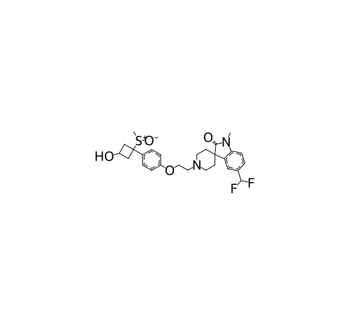 CN1C(=O)C2(CCN(CCOc3ccc(C4([S+](C)[O-])CC(O)C4)cc3)CC2)c2cc(C(F)F)ccc21